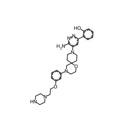 Nc1nnc(-c2ccccc2O)cc1N1CCC2(CC1)CN(c1cccc(OCCN3CCNCC3)c1)CCO2